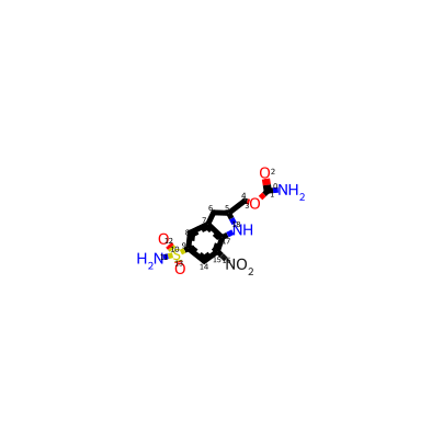 NC(=O)OCC1Cc2cc(S(N)(=O)=O)cc([N+](=O)[O-])c2N1